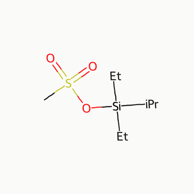 CC[Si](CC)(OS(C)(=O)=O)C(C)C